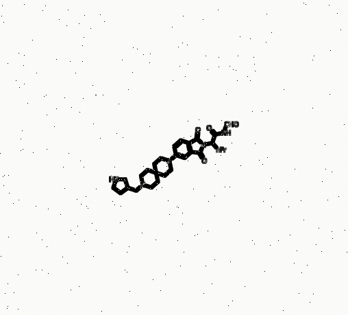 CCCC(C(=O)NC=O)N1C(=O)c2ccc(N3CCC4(CCN(CC5CCNC5)CC4)CC3)cc2C1=O